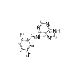 Fc1ccc(F)c(CNc2ncnc3[nH]cnc23)c1